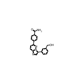 NC(=O)c1ccc(-c2ccc3ncc(-c4cccc(CO)c4)n3n2)cc1